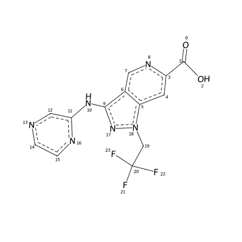 O=C(O)c1cc2c(cn1)c(Nc1cnccn1)nn2CC(F)(F)F